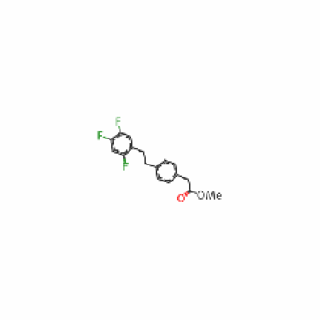 COC(=O)Cc1ccc(CCc2cc(F)c(F)cc2F)cc1